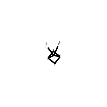 FC1(F)C2CC1C2